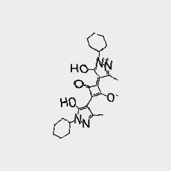 CC1=N[N+](C2CCCCC2)=C(O)/C1=C1\C(=O)C(c2c(C)nn(C3CCCCC3)c2O)=C1[O-]